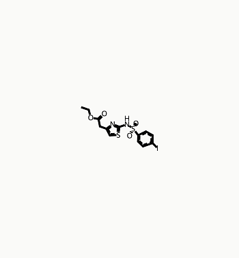 CCOC(=O)Cc1csc(NS(=O)(=O)c2ccc(I)cc2)n1